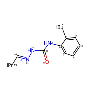 CCC(C)c1ccccc1NC(=O)N/N=C/C(C)C